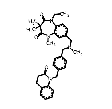 CCN1C(=O)C(C)(C)C(=O)N(C)c2cc(CN(C)Cc3ccc(CN4C(=O)CCc5ccccc54)cc3)ccc21